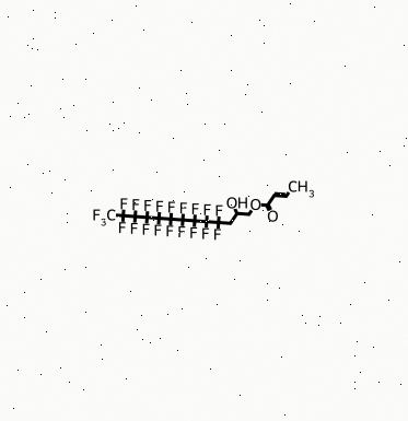 CC=CC(=O)OCC(O)CC(F)(F)C(F)(F)C(F)(F)C(F)(F)C(F)(F)C(F)(F)C(F)(F)C(F)(F)C(F)(F)C(F)(F)F